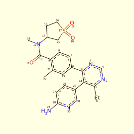 CCc1ncnc(-c2ccc(C(=O)N(C)C3CCS(=O)(=O)C3)c(C)c2)c1-c1ccc(N)nc1